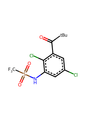 CC(C)(C)C(=O)c1cc(Cl)cc(NS(=O)(=O)C(F)(F)F)c1Cl